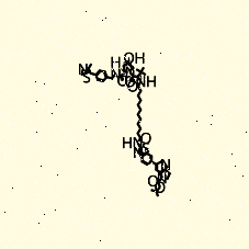 Cc1ncsc1-c1ccc(CNC(=O)[C@@H]2C[C@@H](O)CN2C(=O)[C@@H](NC(=O)CCCCCCCCCCC(=O)Nc2nc3ccc(-c4cnc5c(c4)N(C(=O)OC(C)C)CC5)cc3s2)C(C)(C)C)cc1